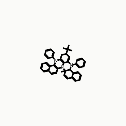 CC(C)(C)C1C=C2C3=C(C1)N(c1ccccc1)c1c(ccc4ccccc14)B3C1(C)C=Cc3ccccc3C1N2c1ccccc1